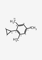 Cc1[c]c(C)c(C2CC2)c(C)c1